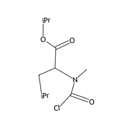 CC(C)CC(C(=O)OC(C)C)N(C)C(=O)Cl